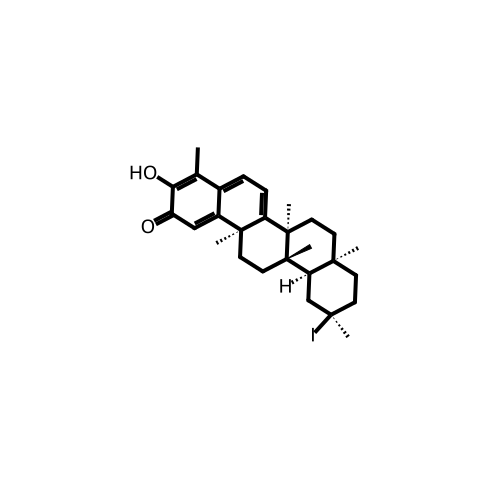 CC1=C(O)C(=O)C=C2C1=CC=C1[C@@]2(C)CC[C@@]2(C)[C@@H]3C[C@](C)(I)CC[C@]3(C)CC[C@]12C